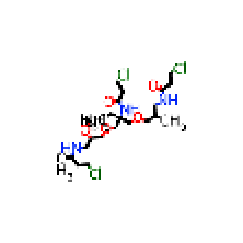 C=C(CCCl)NCC(COCC(CC)(COCC(C)CNC(=O)CCCl)NC(=O)CCCl)OC